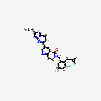 CC(=O)Nc1cn2nc(-c3cnc4c(c3)C(=O)N(Cc3cc(F)cc(F)c3CC3CC3)CC4)ccc2n1